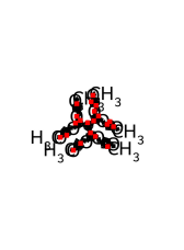 COc1ccc(COc2cc(OCc3ccc(OC)cc3)cc(-c3cc(-c4cc(OCc5ccc(OC)cc5)cc(OCc5ccc(OC)cc5)c4)cc(-c4cc(OCc5ccc(OC)cc5)cc(OCc5ccc(OC)cc5)c4)c3)c2)cc1